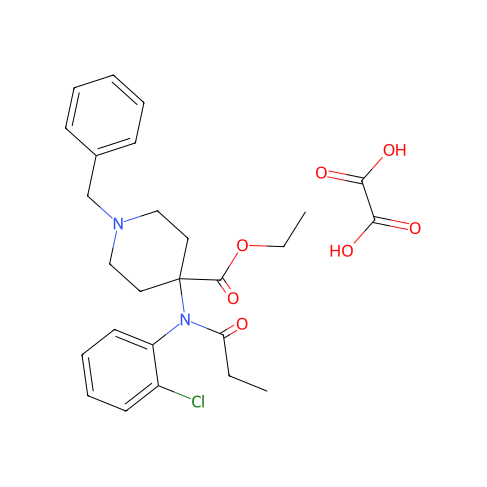 CCOC(=O)C1(N(C(=O)CC)c2ccccc2Cl)CCN(Cc2ccccc2)CC1.O=C(O)C(=O)O